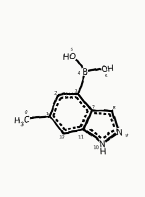 Cc1cc(B(O)O)c2cn[nH]c2c1